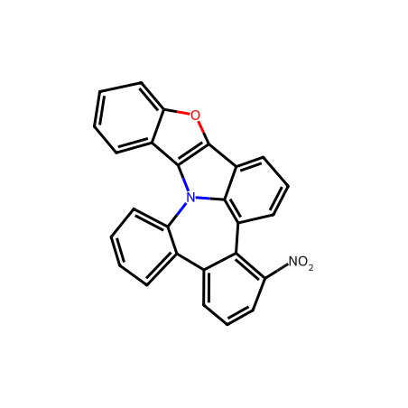 O=[N+]([O-])c1cccc2c1-c1cccc3c4oc5ccccc5c4n(c13)-c1ccccc1-2